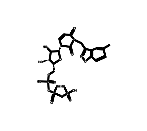 Cc1ccc2onc(Cn3c(=O)ccn([C@@H]4O[C@H](COP(=O)(O)OP(=O)(O)OP(=O)(O)O)[C@H](O)C4O)c3=O)c2c1